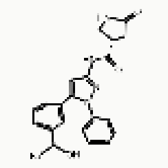 CC(C)(C)C(O)c1cccc(-c2cc(NC(=O)[C@@H]3CNC(=O)C3)nn2-c2ccccc2)c1